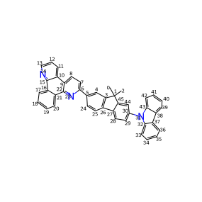 CC1(C)c2cc(-c3ccc4c5cccnc5c5ccccc5c4n3)ccc2-c2ccc(-n3c4ccccc4c4ccccc43)cc21